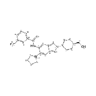 O=C(Nc1cc2cn([C@H]3CC[C@H](CO)CC3)nc2cc1N1CCCC1)c1cccc(C(F)(F)F)n1